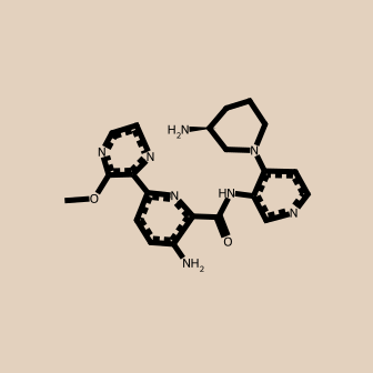 COc1nccnc1-c1ccc(N)c(C(=O)Nc2cnccc2N2CCC[C@H](N)C2)n1